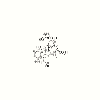 CCC(C)C(N)C(=O)O.N.NC(Cc1ccccc1)C(=O)O.O=C(O)[C@@H]1CCCN1.OCCCc1ccccc1